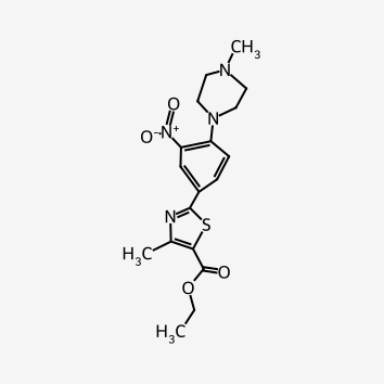 CCOC(=O)c1sc(-c2ccc(N3CCN(C)CC3)c([N+](=O)[O-])c2)nc1C